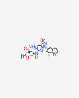 CNC(=O)[C@]1(CC(=O)N(C)C)CC[C@@H](Nc2ncc3c(Br)nn(-c4cc(F)c5ncccc5c4)c3n2)C1